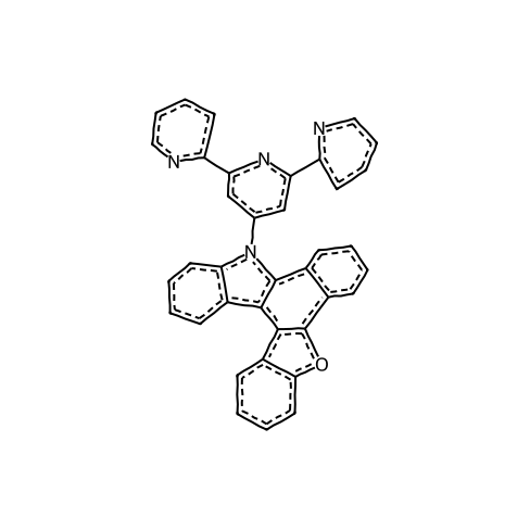 c1ccc(-c2cc(-n3c4ccccc4c4c5c6ccccc6oc5c5ccccc5c43)cc(-c3ccccn3)n2)nc1